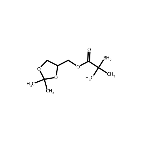 BC(C)(C)C(=O)OCC1COC(C)(C)O1